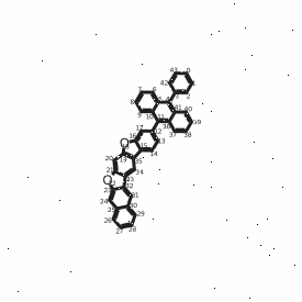 c1ccc(-c2c3ccccc3c(-c3ccc4c(c3)oc3cc5oc6cc7ccccc7cc6c5cc34)c3ccccc23)cc1